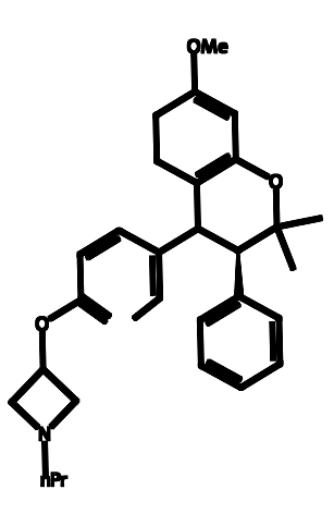 C=C(/C=C\C(=C/C)C1C2=C(C=C(OC)CC2)OC(C)(C)[C@H]1c1ccccc1)OC1CN(CCC)C1